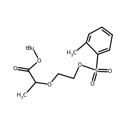 Cc1ccccc1S(=O)(=O)OCCOC(C)C(=O)OC(C)(C)C